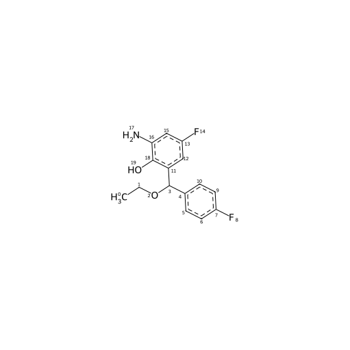 CCOC(c1ccc(F)cc1)c1cc(F)cc(N)c1O